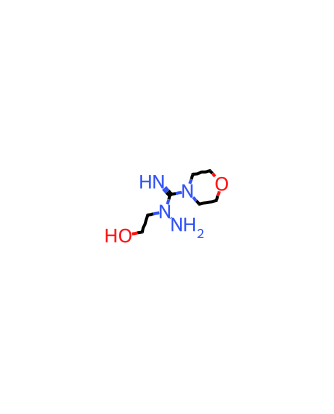 N=C(N(N)CCO)N1CCOCC1